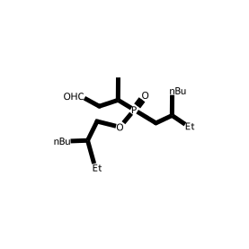 CCCCC(CC)COP(=O)(CC(CC)CCCC)C(C)CC=O